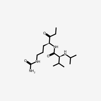 CCC(=O)[C@H](CCCNC(N)=O)NC(=O)[C@@H](NC(C)C)C(C)C